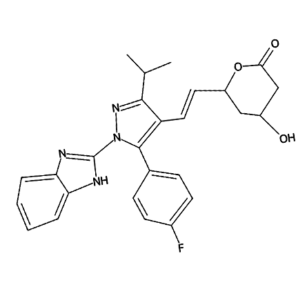 CC(C)c1nn(-c2nc3ccccc3[nH]2)c(-c2ccc(F)cc2)c1C=CC1CC(O)CC(=O)O1